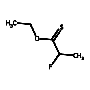 CCOC(=S)C(C)F